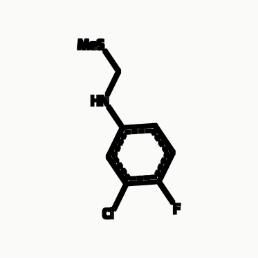 CSCNc1ccc(F)c(Cl)c1